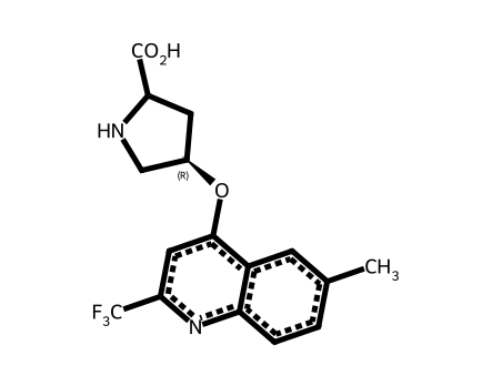 Cc1ccc2nc(C(F)(F)F)cc(O[C@H]3CNC(C(=O)O)C3)c2c1